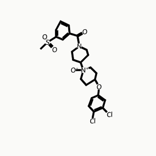 CS(=O)(=O)c1cccc(C(=O)N2CCC([N+]3([O-])CCC(Oc4ccc(Cl)c(Cl)c4)CC3)CC2)c1